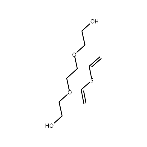 C=CSC=C.OCCOCCOCCO